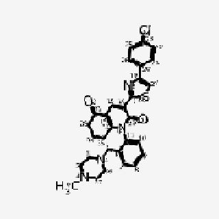 CN1CCN(Cc2ccccc2-n2c3c(cc(-c4nc(-c5ccc(Cl)cc5)cs4)c2=O)C(=O)CCC3)CC1